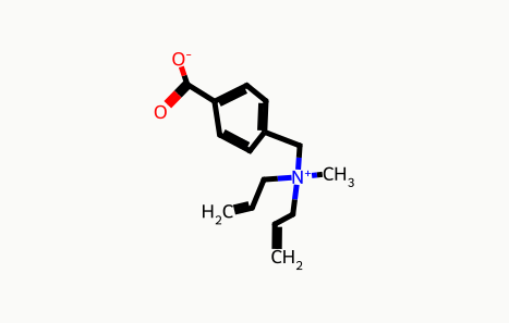 C=CC[N+](C)(CC=C)Cc1ccc(C(=O)[O-])cc1